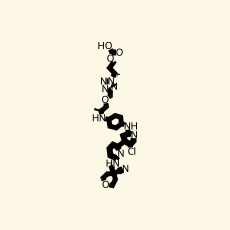 C[C@@H](COCc1nnn([C@@H](C)CCOC(=O)O)n1)NC1CCC(Nc2cc(-c3cccc(NCC4(C#N)CCOCC4)n3)c(Cl)cn2)CC1